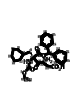 CC(C)(C)OC(=O)N[C@@](CC1CCCCC1)(C(=O)OC(c1ccccc1)c1ccccc1)C(=O)[C@@H](N)CC(=O)O